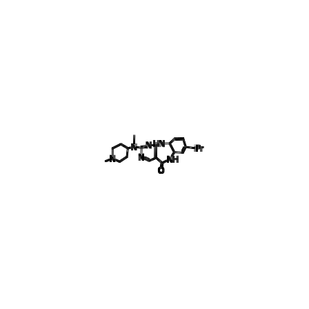 CC(C)C1=CC2NC(=O)c3cnc(N(C)C4CCN(C)CC4)nc3NC2C=C1